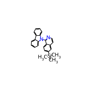 C[Si](C)(C)c1ccc2c(-n3c4ccccc4c4ccccc43)nccc2c1